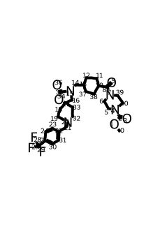 COC(=O)N1CCN(C(=O)C2CCC(CN3CC4(CCN(Cc5ccc(C(F)(F)F)cc5)CC4)OC3=O)CC2)CC1